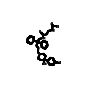 CCC(=O)NCCC(=O)NCC(CCCN1CCC(O)(c2ccc(Cl)cc2)CC1)(c1ccccc1)c1ccccc1